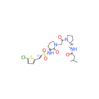 CC(C)CC(=O)NC[C@H]1CCCN1C(=O)CN1CCC[C@H](NS(=O)(=O)/C=C/c2ccc(Cl)s2)C1=O